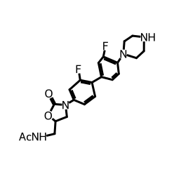 CC(=O)NCC1CN(c2ccc(-c3ccc(N4CCNCC4)c(F)c3)c(F)c2)C(=O)O1